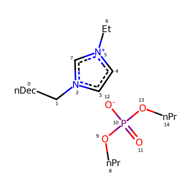 CCCCCCCCCCCn1cc[n+](CC)c1.CCCOP(=O)([O-])OCCC